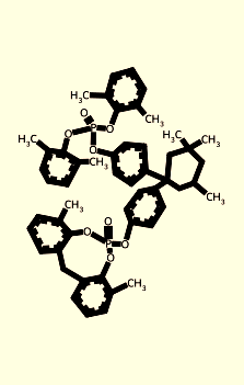 Cc1cccc(C)c1OP(=O)(Oc1ccc(C2(c3ccc(OP4(=O)Oc5c(C)cccc5Cc5cccc(C)c5O4)cc3)CC(C)CC(C)(C)C2)cc1)Oc1c(C)cccc1C